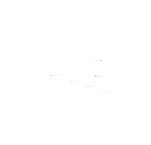 CC(C)NC(CCCNC(N)=O)C(=O)NC(C(=O)C(C)C)C(C)C